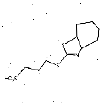 O=S(=O)(O)CCCSC1=NC2CCCCC2S1